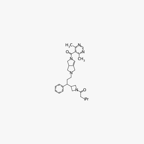 Cc1ncnc(C)c1C(=O)N1C=C2CN(CCC(c3ccccc3)C3CN(C(=O)CC(C)C)C3)CC2C1